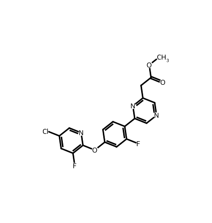 COC(=O)Cc1cncc(-c2ccc(Oc3ncc(Cl)cc3F)cc2F)n1